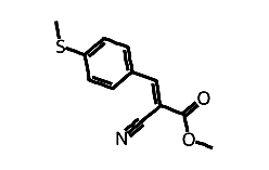 COC(=O)/C(C#N)=C/c1ccc(SC)cc1